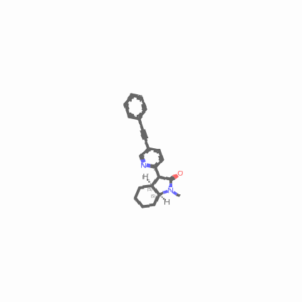 CN1C(=O)C(c2ccc(C#Cc3ccccc3)cn2)[C@@H]2CCCC[C@@H]21